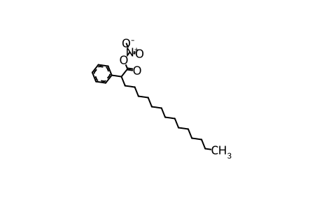 CCCCCCCCCCCCCCC(C(=O)O[N+](=O)[O-])c1ccccc1